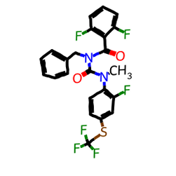 CN(C(=O)N(Cc1ccccc1)C(=O)c1c(F)cccc1F)c1ccc(SC(F)(F)F)cc1F